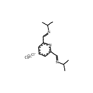 CC(C)N=Cc1cccc(C=NC(C)C)n1.[Cl-].[Cl-].[Co+2]